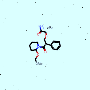 CCCC[C@H](OCC(C(=O)N1CCCCC1OCOC)c1ccccc1)C(N)=O